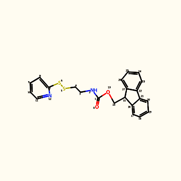 O=C(NCCSSc1ccccn1)OCC1c2ccccc2-c2ccccc21